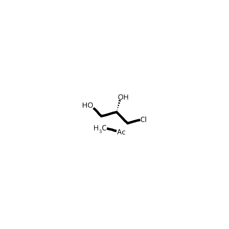 CC(C)=O.OC[C@H](O)CCl